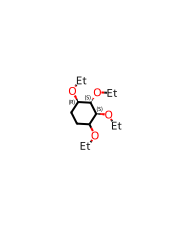 CCOC1CC[C@@H](OCC)[C@H](OCC)[C@H]1OCC